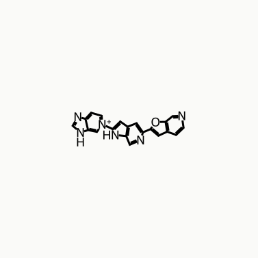 c1cc2cc(-c3cc4cc(-[n+]5ccc6nc[nH]c6c5)[nH]c4cn3)oc2cn1